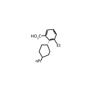 CCC[C@H]1CC[C@H](c2c(CC)cccc2C(=O)O)CC1